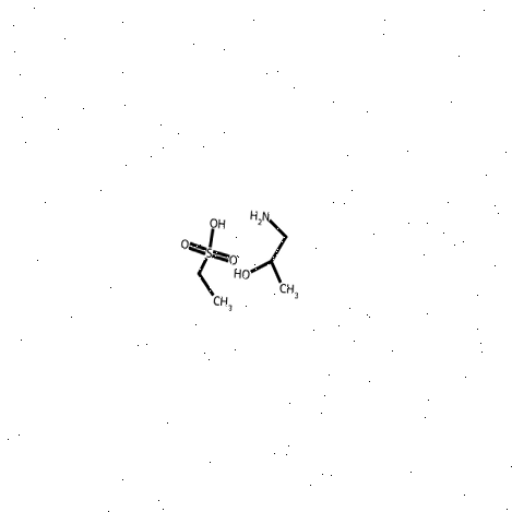 CC(O)CN.CCS(=O)(=O)O